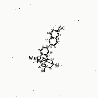 COc1ccc(-c2ccc3cc(C(C)=O)ccc3c2)cc1C12C[C@H]3C[C@@H](C1)C[C@@H](C2)C3